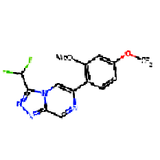 COc1cc(OC(F)(F)F)ccc1-c1cn2c(C(F)F)nnc2cn1